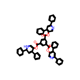 O=C(OC1=CNC(c2ccccc2)C=C1c1ccccc1)c1cc(C(=O)Oc2cnc(-c3ccccc3)cc2-c2ccccc2)cc(C(=O)Oc2cnc(-c3ccccc3)cc2-c2ccccc2)c1